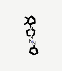 Cc1cccc(N2CCN(/N=N/c3ccccc3)CC2)c1C